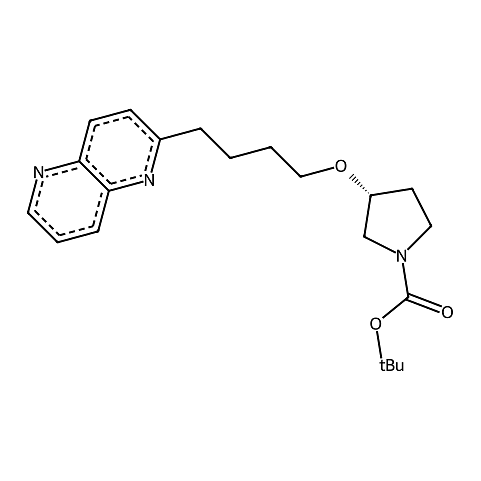 CC(C)(C)OC(=O)N1CC[C@@H](OCCCCc2ccc3ncccc3n2)C1